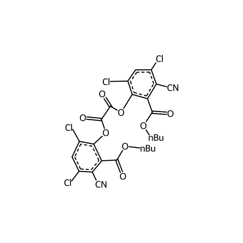 CCCCOC(=O)c1c(C#N)c(Cl)cc(Cl)c1OC(=O)C(=O)Oc1c(Cl)cc(Cl)c(C#N)c1C(=O)OCCCC